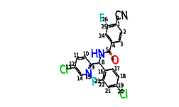 N#Cc1ccc(C(=O)NC(c2ccc(Cl)cn2)c2ccc(Cl)cc2F)cc1F